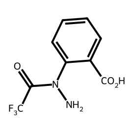 NN(C(=O)C(F)(F)F)c1ccccc1C(=O)O